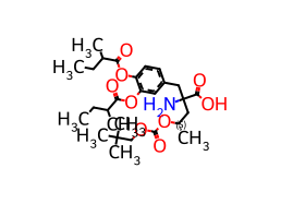 CCC(C)C(=O)Oc1ccc(CC(N)(C[C@H](C)OC(=O)OCC(C)(C)C)C(=O)O)cc1OC(=O)C(C)CC